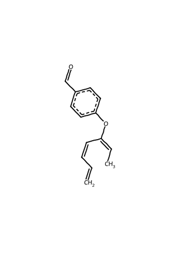 C=C/C=C\C(=C/C)Oc1ccc(C=O)cc1